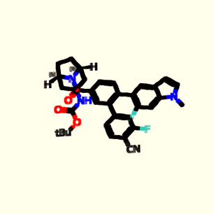 Cn1ccc2cc(-c3ccc(C(=O)N4[C@@H]5CC[C@H]4C[C@H](NC(=O)OC(C)(C)C)C5)cc3-c3ccc(C#N)c(F)c3)c(F)cc21